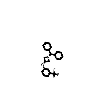 FC(F)(F)c1cccc(OC2CN(C(c3ccccc3)c3ccccc3)C2)c1